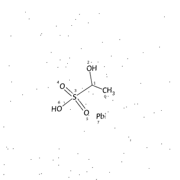 CC(O)S(=O)(=O)O.[Pb]